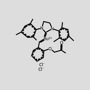 CC(=O)COc1ccccc1[CH]=[Ru+2]=[C]1N(c2c(C)cc(C)cc2C)CCN1c1c(C)cc(C)cc1C.[Cl-].[Cl-]